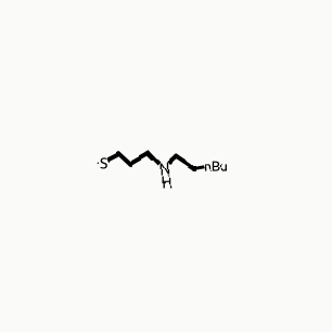 CCCCCCNCCC[S]